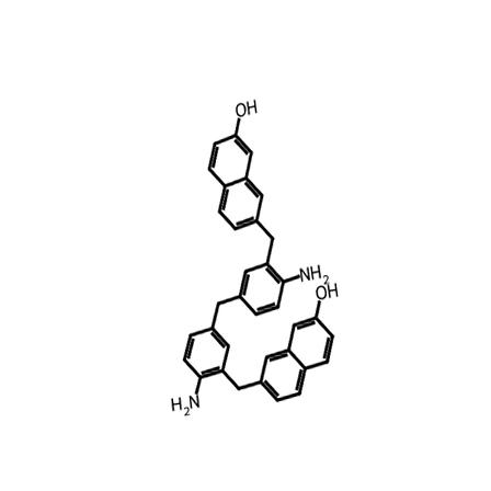 Nc1ccc(Cc2ccc(N)c(Cc3ccc4ccc(O)cc4c3)c2)cc1Cc1ccc2ccc(O)cc2c1